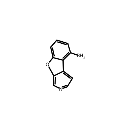 Bc1cccc2oc3cnccc3c12